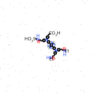 CCNC(=O)CCc1ccc(N(c2ccc(CCC(=O)NCC)cc2)c2ccc(-c3c4c(c(-c5ccc(N(c6ccc(CCC(=O)O)cc6)c6ccc(CCC(=O)NCCS(=O)(=O)O)cc6)cc5)c5nsnc35)N=S=N4)cc2)cc1